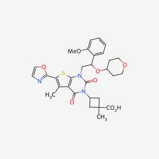 COc1ccccc1C(Cn1c(=O)n(C2CC(C)(C(=O)O)C2)c(=O)c2c(C)c(-c3ncco3)sc21)OC1CCOCC1